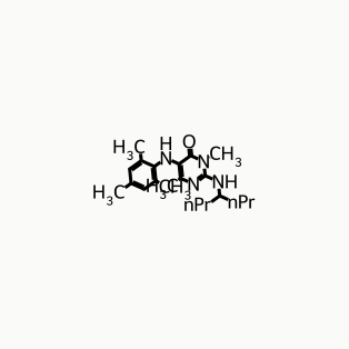 CCCC(CCC)Nc1nc(C)c(Nc2c(C)cc(C)cc2C)c(=O)n1C